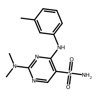 Cc1cccc(Nc2nc(N(C)C)ncc2S(N)(=O)=O)c1